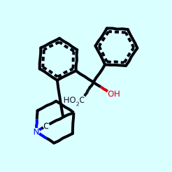 O=C(O)C(O)(c1ccccc1)c1ccccc1C1CN2CCC1CC2